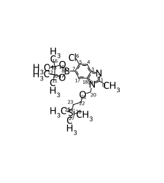 Cc1nc2cc(Cl)c(B3OC(C)(C)C(C)(C)O3)cc2n1COCC[Si](C)(C)C